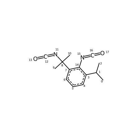 CC(C)c1cccc(C(C)(C)N=C=O)c1N=C=O